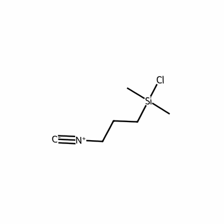 [C-]#[N+]CCC[Si](C)(C)Cl